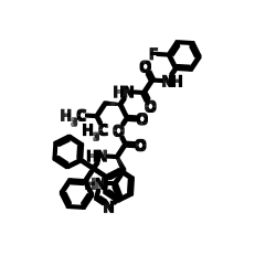 CC(C)C[C@@H](NC(=O)C(=O)Nc1ccccc1F)C(=O)OC(=O)[C@@H](Cc1cnc[nH]1)NC(c1ccccc1)(c1ccccc1)c1ccccc1